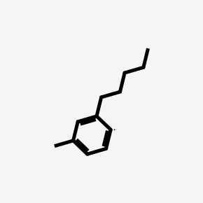 CCCCCc1[c]ccc(C)c1